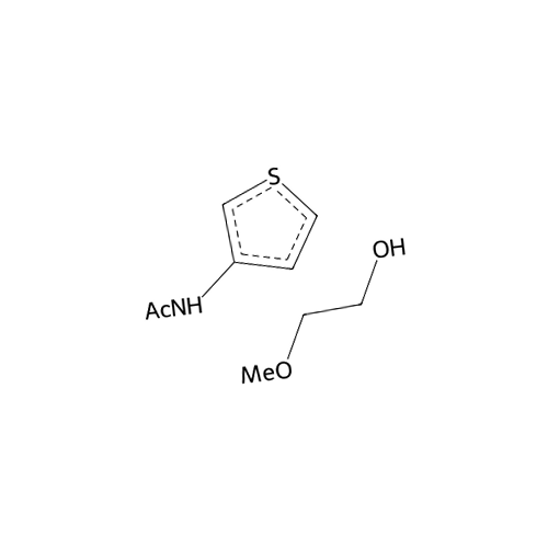 CC(=O)Nc1ccsc1.COCCO